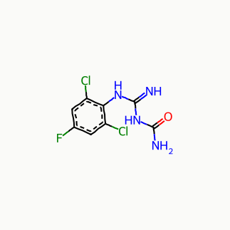 N=C(NC(N)=O)Nc1c(Cl)cc(F)cc1Cl